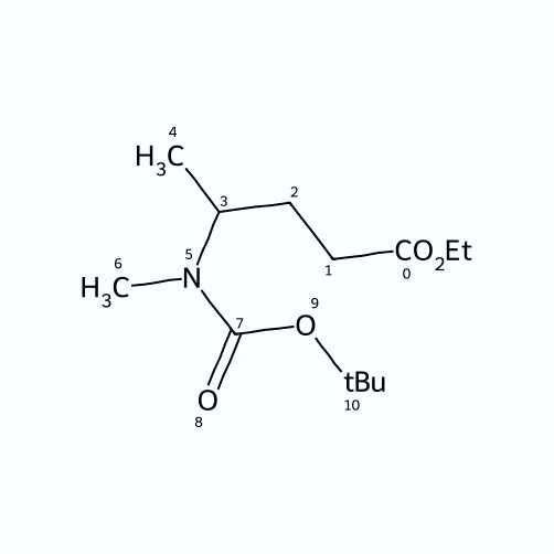 CCOC(=O)CCC(C)N(C)C(=O)OC(C)(C)C